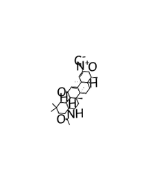 [C-]#[N+]C1=C[C@]2(C)C3=CC(=O)[C@@H]4[C@@H]5CC(C)(C)CC[C@]5(NC(C)=O)CC[C@@]4(C)[C@]3(C)CC[C@H]2[C@H](C)C1=O